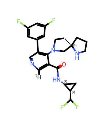 [2H]c1ncc(-c2cc(F)cc(F)c2)c(N2CC[C@@]3(CCCN3)C2)c1C(=O)N[C@@H]1C[C@H]1C(F)F